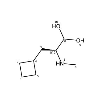 CN[C@@H](CC1CCC1)C(O)O